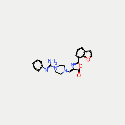 NC(=Nc1ccccc1)N1CCN(C=C2N=C(c3cccc4ccoc34)OC2=O)CC1